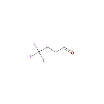 O=CCCC(I)(I)I